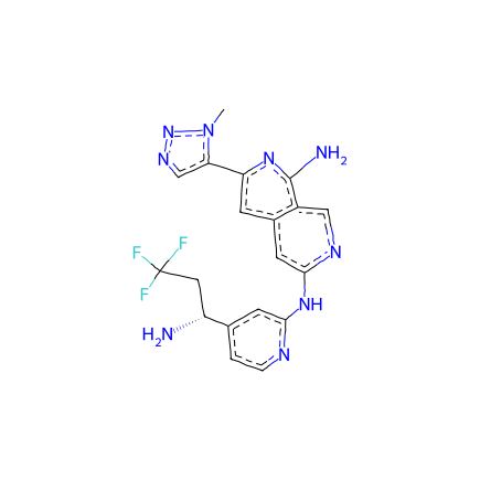 Cn1nncc1-c1cc2cc(Nc3cc([C@H](N)CC(F)(F)F)ccn3)ncc2c(N)n1